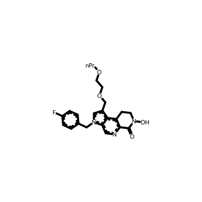 CCCOCCOCc1cn(Cc2ccc(F)cc2)c2cnc3c(c12)CCN(O)C3=O